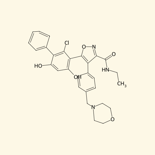 CCNC(=O)c1noc(-c2c(O)cc(O)c(-c3ccccc3)c2Cl)c1-c1ccc(CN2CCOCC2)cc1